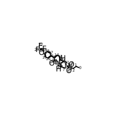 CCCS(=O)(=O)N1C[C@@H]2C[C@H](C1)c1ccc(-c3ccc(OC(F)(F)F)cc3)c(=O)n1C2